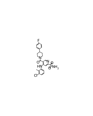 Cc1c(Cl)cccc1Nc1cc(S(N)(=O)=O)ncc1C(=O)N1CCC(c2ccc(F)cc2)CC1